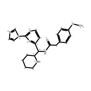 COc1ccc(CC(=O)NC(c2ccnc(-n3ccnc3)n2)C2CCCCN2)cc1